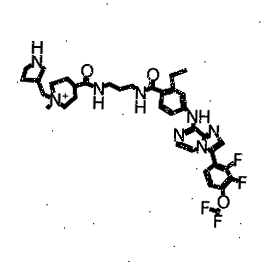 CCc1cc(Nc2nccn3c(-c4ccc(OC(F)F)c(F)c4F)cnc23)ccc1C(=O)NCCCNC(=O)C1CC[N+](C)(CC2CCNC2)CC1